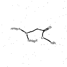 CCCCCCCN(CCCCCCC)CC(=O)OCCC